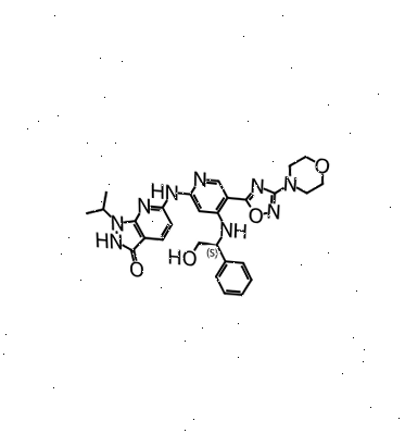 CC(C)n1[nH]c(=O)c2ccc(Nc3cc(N[C@H](CO)c4ccccc4)c(-c4nc(N5CCOCC5)no4)cn3)nc21